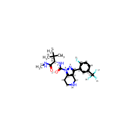 CNC(=O)[C@@H](NC(=O)n1nc(-c2cc(C(F)(F)F)ccc2F)c2c1CCNC2)C(C)(C)C